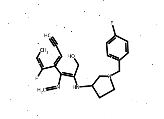 C#C/C=C(C(/N=C)=C(\CO)NC1CCN(Cc2ccc(F)cc2)C1)\C(F)=C/C